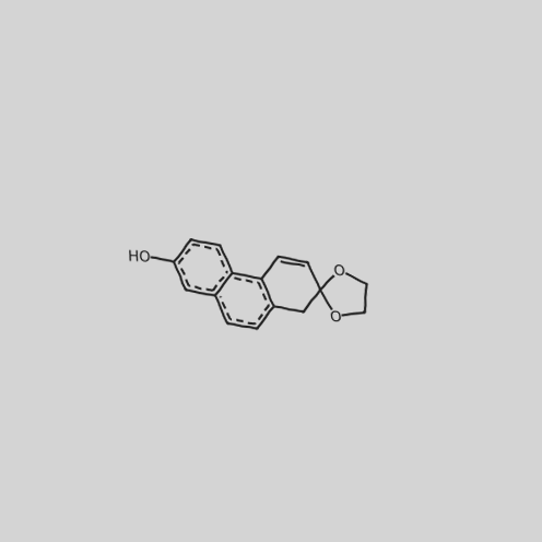 Oc1ccc2c3c(ccc2c1)CC1(C=C3)OCCO1